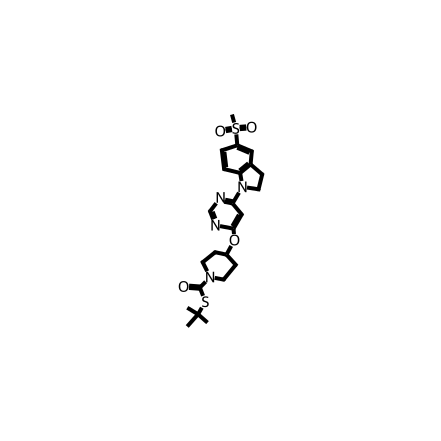 CC(C)(C)SC(=O)N1CCC(Oc2cc(N3CCc4cc(S(C)(=O)=O)ccc43)ncn2)CC1